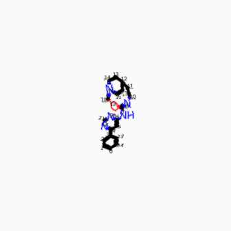 c1ccc(-c2cc(N/C3=N/CCC4CCN(CC4)CO3)ncn2)cc1